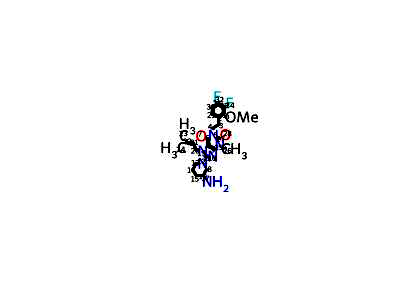 COc1c(CCn2c(=O)c3c(nc(N4CCCC(N)C4)n3CC=C(C)C)n(C)c2=O)ccc(F)c1F